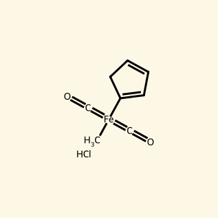 Cl.[CH3][Fe](=[C]=O)(=[C]=O)[C]1=CC=CC1